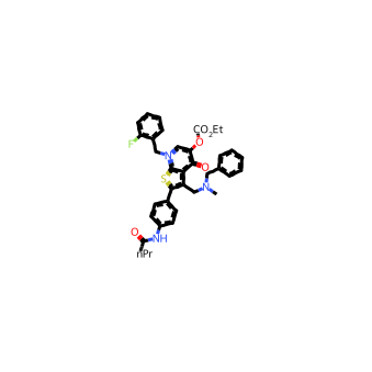 CCCC(=O)Nc1ccc(-c2sc3c(c2CN(C)Cc2ccccc2)c(=O)c(OC(=O)OCC)cn3Cc2ccccc2F)cc1